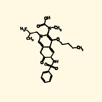 CCCCOC1=C(N(C)C(=O)O)N(CC(C)C)C=C2CC(=O)C(NS(=O)(=O)c3ccccc3)C=C21